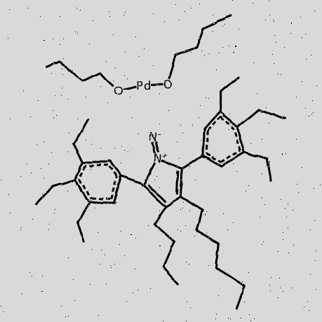 CCCCCCC1=C(c2cc(CC)c(CC)c(CC)c2)[N+](=[N-])C(c2cc(CC)c(CC)c(CC)c2)=C1CCCC.CCCC[O][Pd][O]CCCC